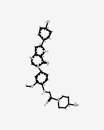 COc1cc(-n2cnc3cc(-c4ccc(Cl)cc4)sc3c2=O)ccc1OCC(=O)N1CCC(O)CC1